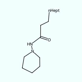 CCCCCCCCCC(=O)NN1CCCCC1